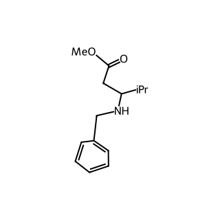 COC(=O)CC(NCc1ccccc1)C(C)C